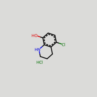 Cl.Oc1ccc(Cl)c2c1NCCC2